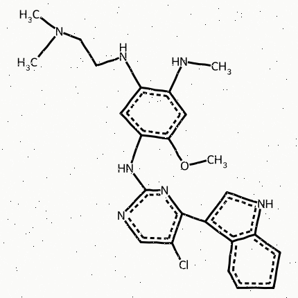 CNc1cc(OC)c(Nc2ncc(Cl)c(-c3c[nH]c4ccccc34)n2)cc1NCCN(C)C